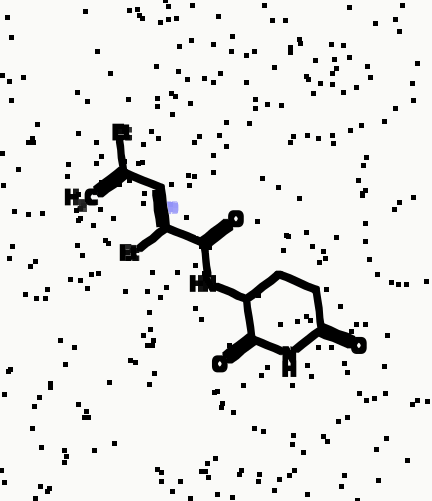 C=C(/C=C(\CC)C(=O)NC1CCC(=O)NC1=O)CC